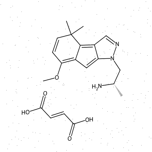 COC1=C2C=c3c(cnn3C[C@H](C)N)=C2C(C)(C)C=C1.O=C(O)C=CC(=O)O